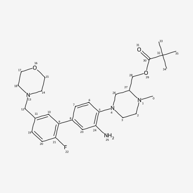 CN1CCN(c2ccc(-c3cc(CN4CCOCC4)ccc3F)cc2N)CC1COC(=O)C(C)(C)C